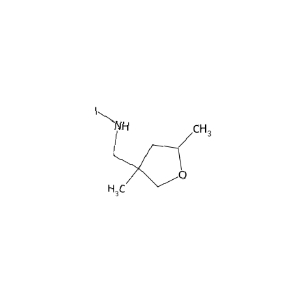 CC1CC(C)(CNI)CO1